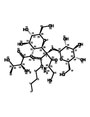 CCCCOC(=O)[S@@](S[C@@H]1O[C@H](CO)[C@@H](O)[C@H](O)[C@H]1O)(C(=O)[C@@H](N)CS)[C@@H]1O[C@H](CO)[C@@H](O)[C@H](O)[C@H]1OC(=O)[C@@H](N)[C@@H](C)O